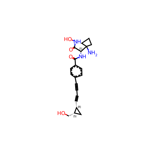 NC1([C@H](NC(=O)c2ccc(C#CC#C[C@@H]3C[C@@H]3CO)cc2)C(=O)NO)CCC1